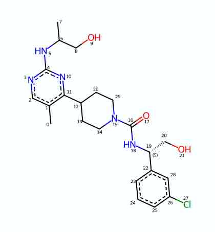 Cc1cnc(NC(C)CO)nc1C1CCN(C(=O)N[C@H](CO)c2cccc(Cl)c2)CC1